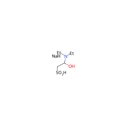 CCN(CC)C(O)CS(=O)(=O)O.[NaH]